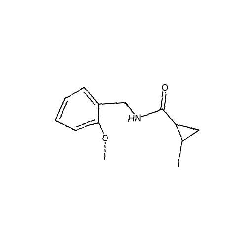 COc1ccccc1CNC(=O)C1CC1C